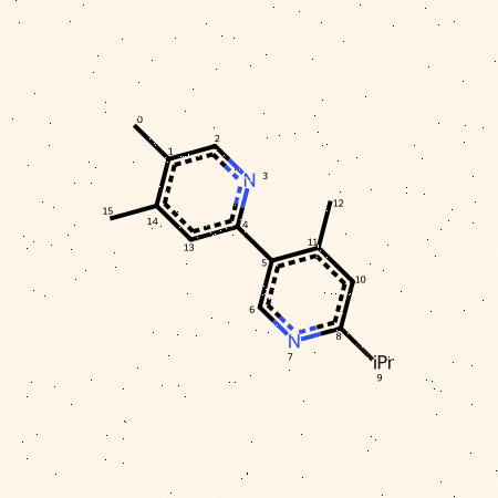 Cc1cnc(-c2cnc(C(C)C)cc2C)cc1C